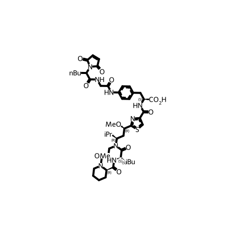 CCCCC(C(=O)NCC(=O)Nc1ccc(C[C@H](NC(=O)c2csc([C@@H](C[C@H](C(C)C)N(COC)C(=O)[C@@H](NC(=O)[C@H]3CCCCN3C)[C@@H](C)CC)OC)n2)C(=O)O)cc1)N1C(=O)C=CC1=O